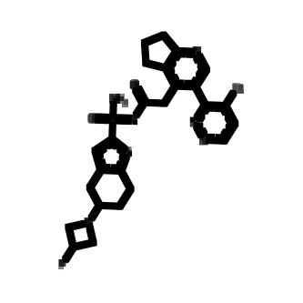 CCc1ccnnc1-c1cnc2c(c1CC(=O)N=S(N)(=O)c1cc3c(s1)CCC(N1CC(F)C1)C3)CCC2